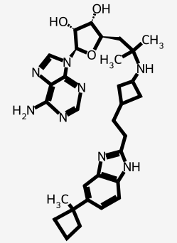 CC(C)(C[C@H]1O[C@@H](n2cnc3c(N)ncnc32)[C@H](O)[C@@H]1O)NC1CC(CCc2nc3cc(C4(C)CCC4)ccc3[nH]2)C1